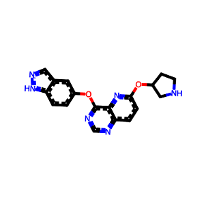 c1nc(Oc2ccc3[nH]ncc3c2)c2nc(OC3CCNC3)ccc2n1